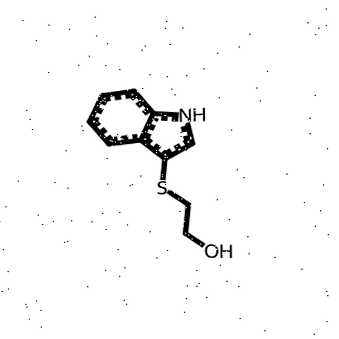 OCCSc1c[nH]c2ccccc12